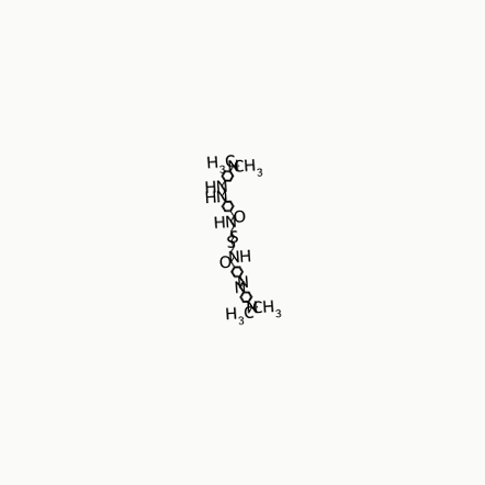 CN(C)c1ccc(/N=N/c2ccc(C(=O)NCCSSCCNC(=O)c3ccc(NCNc4ccc(N(C)C)cc4)cc3)cc2)cc1